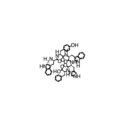 N[C@@H](Cc1c[nH]c2ccccc12)C(=O)N[C@@H](Cc1ccc(O)cc1)C(=O)N[C@@H](Cc1c[nH]c2ccccc12)C(=O)N[C@@H](Cc1c[nH]cn1)C(=O)N[C@@H](Cc1ccccc1)C(=O)O